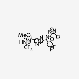 COC[C@H](c1cnn2cc([C@@H](NC(=O)c3nonc3C3=CCC3)C3CCC(F)(F)CC3)nc2c1)N1C[C@@H](C(F)(F)F)NC1=O